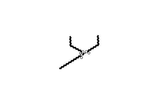 CCCCCC/C=C\CCCCCCCC(=O)OC[C@@H](COC(=O)CCCCCCCCCCCCCCCCC)OC(=O)CCCCCCC/C=C\CCCCCC